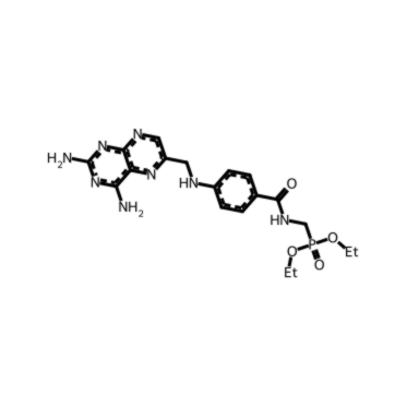 CCOP(=O)(CNC(=O)c1ccc(NCc2cnc3nc(N)nc(N)c3n2)cc1)OCC